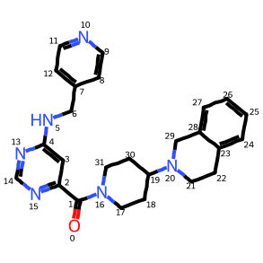 O=C(c1cc(NCc2ccncc2)ncn1)N1CCC(N2CCc3ccccc3C2)CC1